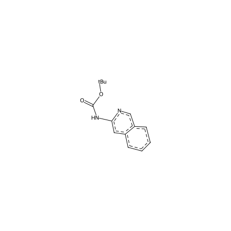 CC(C)(C)OC(=O)Nc1cc2ccccc2cn1